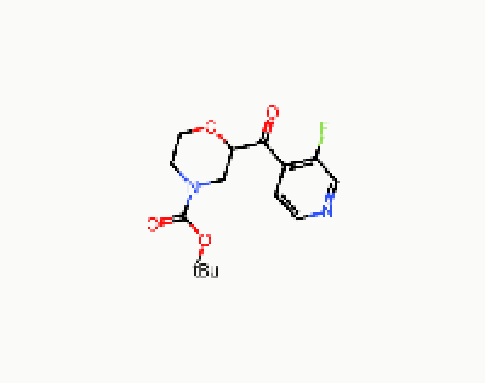 CC(C)(C)OC(=O)N1CCOC(C(=O)c2ccncc2F)C1